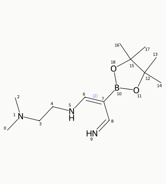 CN(C)CCN/C=C(\C=N)B1OC(C)(C)C(C)(C)O1